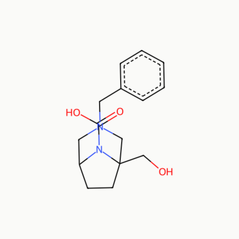 O=C(O)N1C2CCC1(CO)CN(Cc1ccccc1)C2